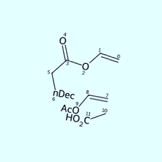 C=COC(=O)CCCCCCCCCCC.C=COC(C)=O.CC(=O)O